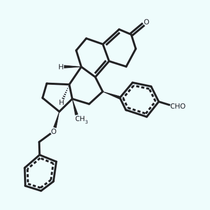 C[C@]12C[C@H](c3ccc(C=O)cc3)C3=C4CCC(=O)C=C4CC[C@H]3[C@@H]1CC[C@@H]2OCc1ccccc1